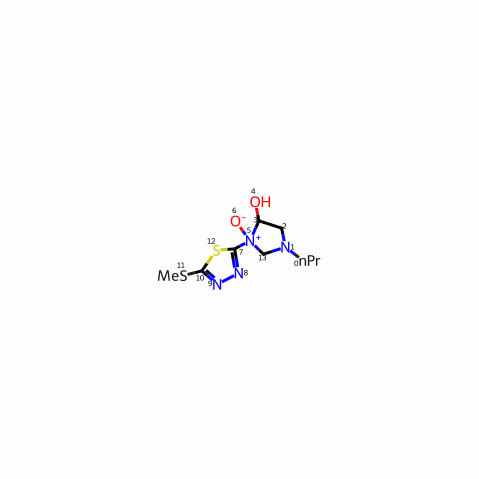 CCCN1CC(O)[N+]([O-])(c2nnc(SC)s2)C1